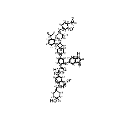 COc1cc(CN2C[C@@H](c3ccccc3C(C)C)N(C3CC4(CCN(c5ccc(C(=O)NS(=O)(=O)c6cnc(NCC7CCC(C)(O)CC7)c([N+](=O)[O-])c6)c(Oc6cnc7[nH]cc(F)c7c6)c5)CC4)C3)C[C@H]2C)ccc1C1CC1